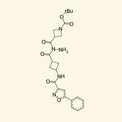 CC(C)(C)OC(=O)N1CC(C(=O)N(N)C(=O)C2CC(NC(=O)c3cc(-c4ccccc4)on3)C2)C1